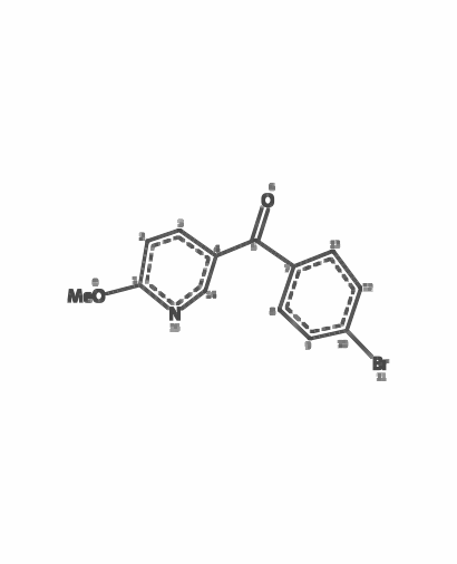 COc1ccc(C(=O)c2ccc(Br)cc2)cn1